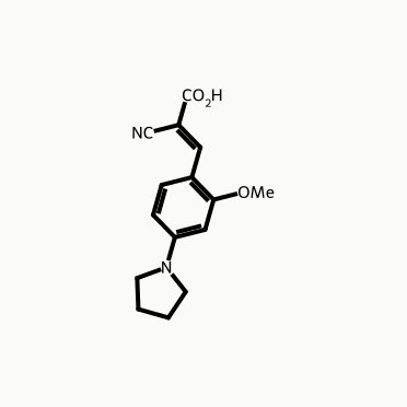 COc1cc(N2CCCC2)ccc1/C=C(\C#N)C(=O)O